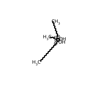 CCCCCCCCCCCCCCCCCCOC[C@H]1O[C@H](OCCCC)[C@H](OCCCCCCCCCCCC)[C@@H](O)[C@@H]1O